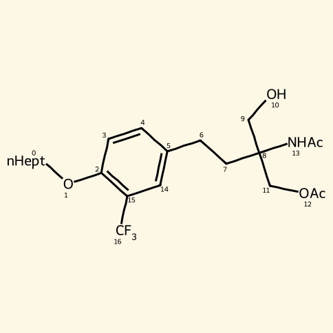 CCCCCCCOc1ccc(CCC(CO)(COC(C)=O)NC(C)=O)cc1C(F)(F)F